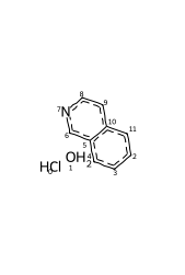 Cl.O.c1ccc2cnccc2c1